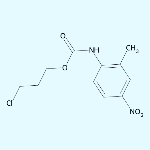 Cc1cc([N+](=O)[O-])ccc1NC(=O)OCCCCl